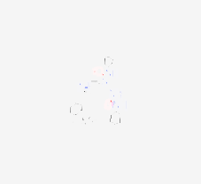 COc1ccc(C[C@]23CC[C@](N(C(=O)Nc4ccccc4)[C@@H](CNC(=O)Nc4ccccc4)CC4CCCCC4)(CC2)[C@H]2CCCN23)cc1